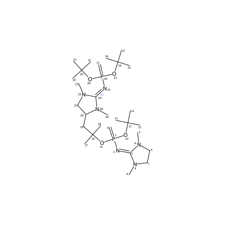 C=P(N=C1N(C)CCN1C)(OC(C)(C)C)OC(C)(C)CC1CN(C)/C(=N\P(=C)(OC(C)(C)C)OC(C)(C)C)N1C